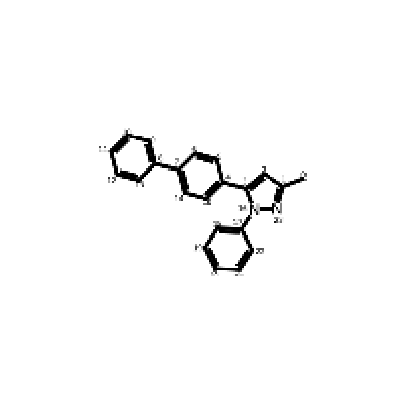 Cc1cc(-c2ccc(-c3ccccc3)cc2)n(-c2ccccc2)n1